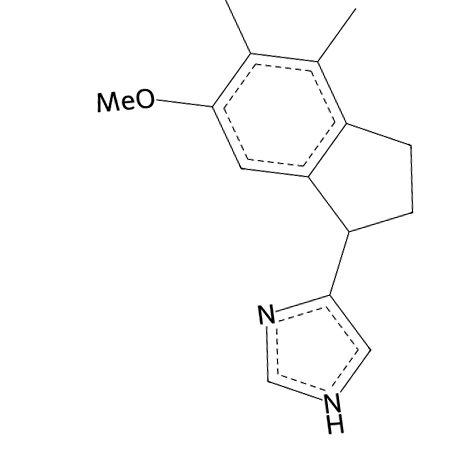 COc1cc2c(c(C)c1C)CCC2c1c[nH]cn1